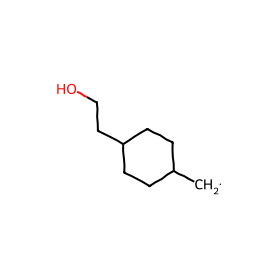 [CH2]C1CCC(CCO)CC1